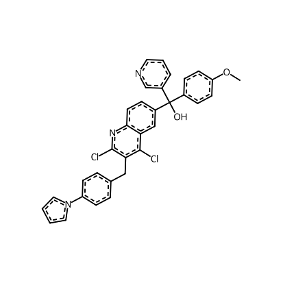 COc1ccc(C(O)(c2cccnc2)c2ccc3nc(Cl)c(Cc4ccc(-n5cccc5)cc4)c(Cl)c3c2)cc1